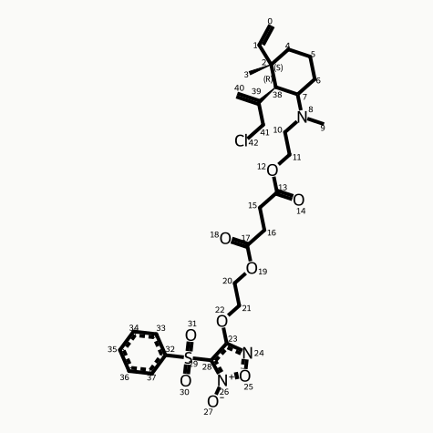 C=C[C@]1(C)CCCC(N(C)CCOC(=O)CCC(=O)OCCOc2no[n+]([O-])c2S(=O)(=O)c2ccccc2)[C@H]1C(=C)CCl